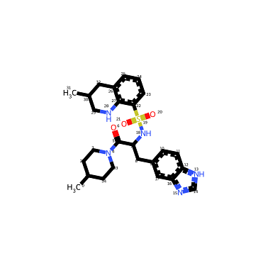 CC1CCN(C(=O)C(Cc2ccc3[nH]cnc3c2)NS(=O)(=O)c2cccc3c2NCC(C)C3)CC1